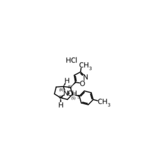 Cc1ccc([C@H]2C[C@@H]3CC[C@H]([C@H]2c2cc(C)no2)N3C)cc1.Cl